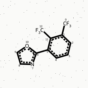 FC(F)(F)c1cccc(-c2nc[c]o2)c1C(F)(F)F